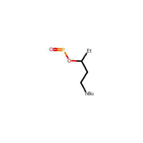 CCCCCCC(CC)OP=O